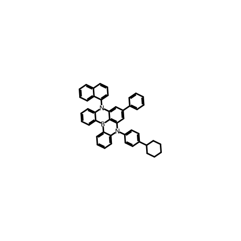 c1ccc(-c2cc3c4c(c2)N(c2cccc5ccccc25)c2ccccc2B4c2ccccc2N3c2ccc(C3CCCCC3)cc2)cc1